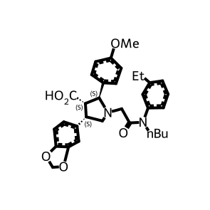 CCCCN(C(=O)CN1C[C@H](c2ccc3c(c2)OCO3)[C@H](C(=O)O)[C@H]1c1ccc(OC)cc1)c1cccc(CC)c1